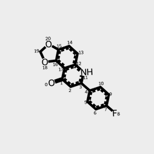 O=c1cc(-c2ccc(F)cc2)[nH]c2ccc3c(c12)OCO3